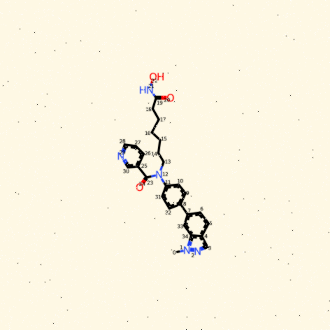 Cn1ncc2ccc(-c3ccc(N(CCCCCCC(=O)NO)C(=O)c4cccnc4)cc3)cc21